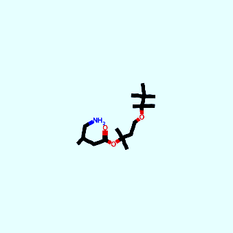 CC(CN)CC(=O)OC(C)(C)CCOC(C)(C)C(C)(C)C